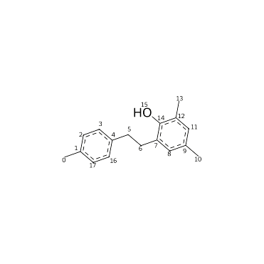 Cc1ccc(CCc2cc(C)cc(C)c2O)cc1